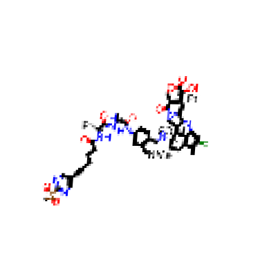 CC[C@@]1(O)C(=O)OCc2c1cc1n(c2=O)Cc2c-1nc1cc(F)c(C)c3c1c2[C@@H](N(Cc1ccc(NC(=O)[C@H](C)NC(=O)[C@@H](NC(=O)CCCC#Cc2cnc(S(C)(=O)=O)nc2)C(C)C)cc1CNC)C(=O)O)CC3